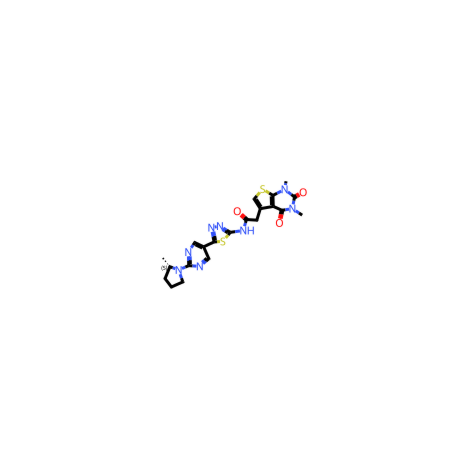 C[C@H]1CCCN1c1ncc(-c2nnc(NC(=O)Cc3csc4c3c(=O)n(C)c(=O)n4C)s2)cn1